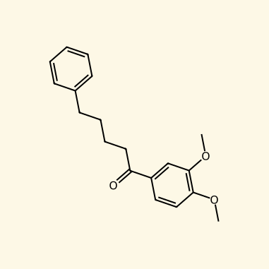 COc1ccc(C(=O)CCCCc2ccccc2)cc1OC